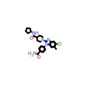 Cc1cc2c(cc1Cl)nc(N1CCC(C(=O)NC3CCCC3)CC1)n2-c1ccc(C(N)=O)cc1